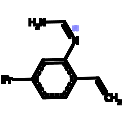 C=Cc1ccc(C(C)C)cc1/N=C\N